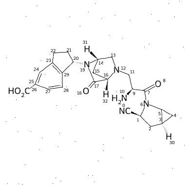 N#C[C@@H]1C[C@@H]2CC2N1C(=O)[C@@H](N)CN1C[C@@H]2C[C@H]1C(=O)N2[C@H]1CCc2cc(C(=O)O)ccc21